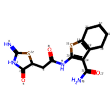 N=C1NC(=O)C(CC(=O)Nc2sc3c(c2C(N)=O)CCCC3)S1